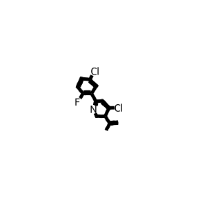 C=C(C)C1CN=C(c2cc(Cl)ccc2F)C=C1Cl